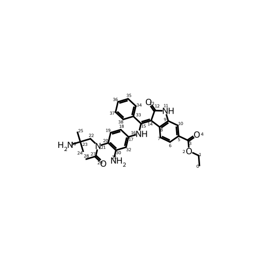 CCOC(=O)c1ccc2c(c1)NC(=O)C2=C(Nc1ccc(N(CC(C)(C)N)C(C)=O)c(N)c1)c1ccccc1